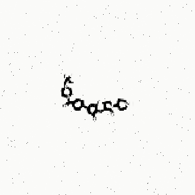 O=C(c1ccc(-c2cc(Cl)c(CC3CCN(C4CCNCC4)C3=O)c(Cl)c2)cc1)N1CCN(CC(F)(F)F)CC1